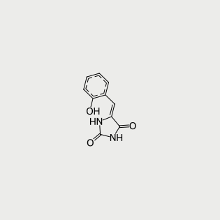 O=C1NC(=O)C(=Cc2ccccc2O)N1